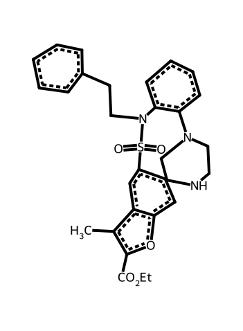 CCOC(=O)c1oc2ccc(S(=O)(=O)N(CCc3ccccc3)c3ccccc3N3CCNCC3)cc2c1C